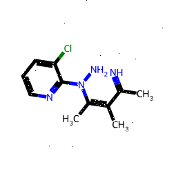 CC(=N)C(C)=C(C)N(N)c1ncccc1Cl